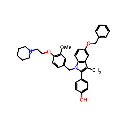 COc1cc(Cn2c(-c3ccc(O)cc3)c(C)c3cc(OCc4ccccc4)ccc32)ccc1OCCN1CCCCC1